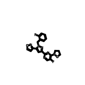 Fc1ccccc1Cn1nc(-c2ncc(F)c(N3CCCO3)n2)cc1-c1ccon1